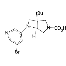 CC(C)(C)[C@]12CN(C(=O)O)C[C@H]1N(c1cncc(Br)c1)C2